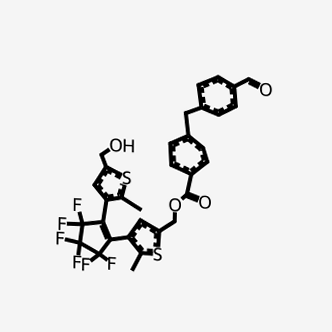 Cc1sc(CO)cc1C1=C(c2cc(COC(=O)c3ccc(Cc4ccc(C=O)cc4)cc3)sc2C)C(F)(F)C(F)(F)C1(F)F